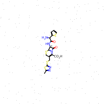 Cc1nnc(SCC2=C(C(=O)O)N3C(=O)[C@H](NC(=O)C(N)c4cccs4)C3SC2)s1